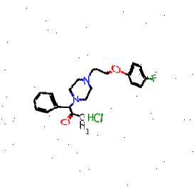 CC(=O)C(c1ccccc1)N1CCN(CCOc2ccc(F)cc2)CC1.Cl